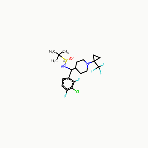 CC(C)(C)[S@@+]([O-])NC(c1ccc(F)c(Cl)c1F)C1CCN(C2(C(F)(F)F)CC2)CC1